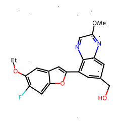 [CH2]COc1cc2cc(-c3cc(CO)cc4nc(OC)cnc34)oc2cc1F